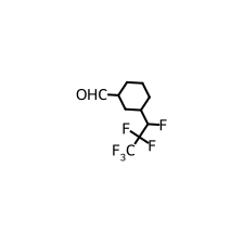 O=CC1CCCC(C(F)C(F)(F)C(F)(F)F)C1